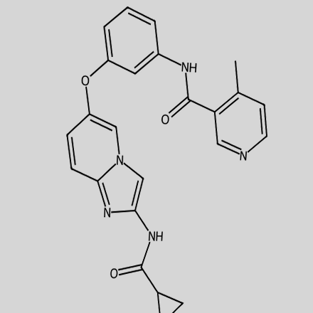 Cc1ccncc1C(=O)Nc1cccc(Oc2ccc3nc(NC(=O)C4CC4)cn3c2)c1